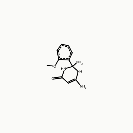 COc1ccccc1C1(N)NC(=O)C=C(N)N1